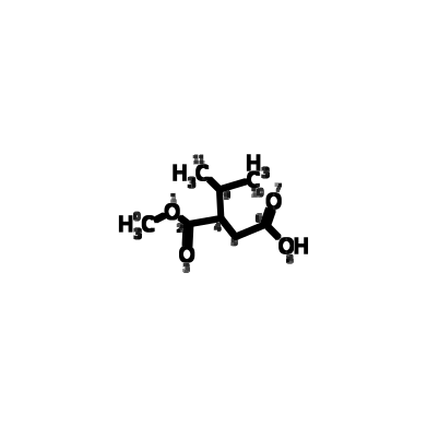 COC(=O)C(CC(=O)O)C(C)C